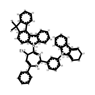 CCC1C=C(c2ccccc2)N=C(c2cccc(-n3c4c(c5ccccc53)=CCCC=4)c2)N=C1n1c2ccccc2c2c3c(ccc21)C(C)(C)c1ccccc1-3